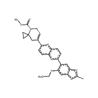 COCOc1cc2nc(C)oc2cc1-c1ccc2nc(C3=CCN(C(=O)OC(C)(C)C)C4(CC4)C3)ccc2n1